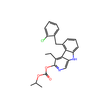 CCc1c(OC(=O)OC(C)C)ncc2[nH]c3cccc(Cc4ccccc4Cl)c3c12